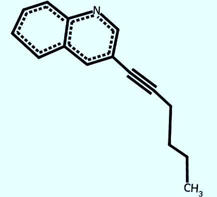 CCCCC#Cc1cnc2ccccc2c1